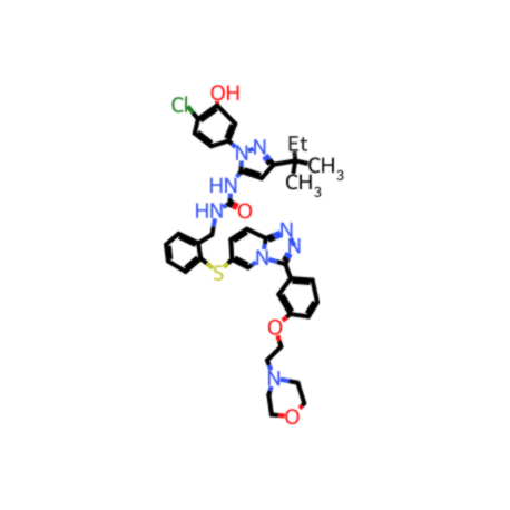 CCC(C)(C)c1cc(NC(=O)NCc2ccccc2Sc2ccc3nnc(-c4cccc(OCCN5CCOCC5)c4)n3c2)n(-c2ccc(Cl)c(O)c2)n1